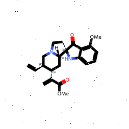 C=C[C@H]1CN2CC[C@]3(Nc4cccc(OC)c4C3=O)[C@@H]2C[C@@H]1C(=C)C(=O)OC